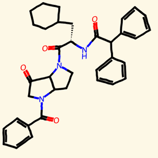 O=C(N[C@@H](CC1CCCCC1)C(=O)N1CCC2C1C(=O)CN2C(=O)c1ccccc1)C(c1ccccc1)c1ccccc1